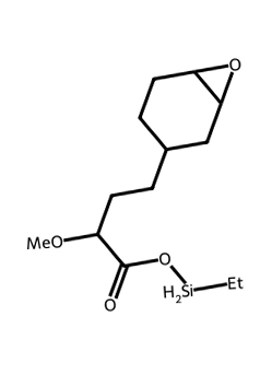 CC[SiH2]OC(=O)C(CCC1CCC2OC2C1)OC